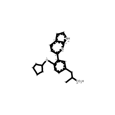 CC(Cc1ccc(OC2CCCC2)c(-c2ccc3cc[nH]c3n2)c1)C(=O)O